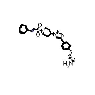 NOOSc1ccc(-c2cn(C3CCN(S(=O)(=O)/C=C/c4ccccc4)CC3)nn2)cc1